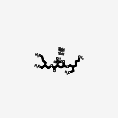 CCCCC(CC)COC(=O)CC(C(=O)OCC(CC)CCCC)S(=O)(=O)O.[NaH].[NaH].[NaH]